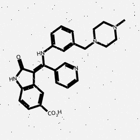 CN1CCN(Cc2cccc(N/C(=C3\C(=O)Nc4ccc(C(=O)O)cc43)c3cccnc3)c2)CC1